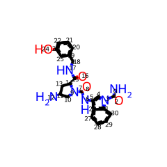 NC(=O)n1cc(NC(=O)N2C[C@@H](N)C[C@H]2C(=O)NCc2cccc(O)c2)c2ccccc21